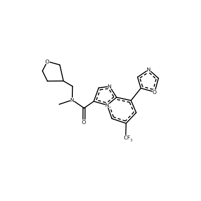 CN(CC1CCOC1)C(=O)c1cnc2c(-c3cnco3)cc(C(F)(F)F)cn12